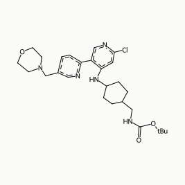 CC(C)(C)OC(=O)NCC1CCC(Nc2cc(Cl)ncc2-c2ccc(CN3CCOCC3)cn2)CC1